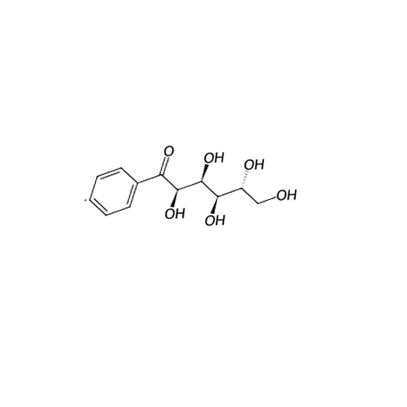 O=C(c1cc[c]cc1)[C@H](O)[C@@H](O)[C@H](O)[C@H](O)CO